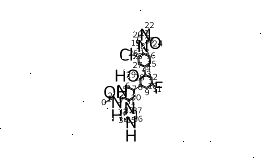 CC(O)Nc1ncc(-c2cc(F)cc(-c3ccc(N4CCN(C)C4=O)c(Cl)c3)c2O)cc1N1CCNCC1